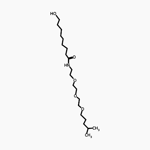 CC(C)CCCOCCOCCOCCNC(=O)CCCCCCCCO